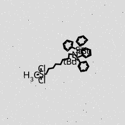 CC(C)(C)[Si](c1ccccc1)(c1ccccc1)N(CCCCCCCC[Si](C)(Cl)Cl)[Si](c1ccccc1)(c1ccccc1)C(C)(C)C